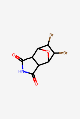 O=C1NC(=O)C2C3OC(C(Br)C3Br)C12